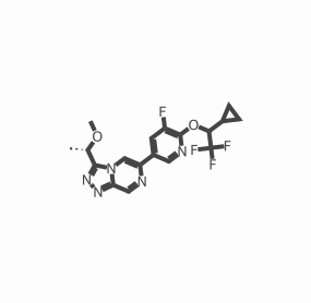 CO[C@@H](C)c1nnc2cnc(-c3cnc(OC(C4CC4)C(F)(F)F)c(F)c3)cn12